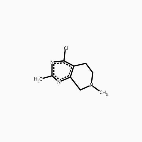 Cc1nc(Cl)c2c(n1)CN(C)CC2